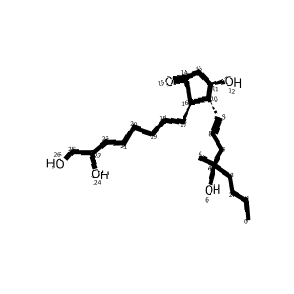 CCCCC(C)(O)CC=C[C@H]1[C@H](O)CC(=O)[C@@H]1CCCCCCC(O)CO